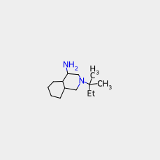 CCC(C)(C)N1CC(N)C2CCCCC2C1